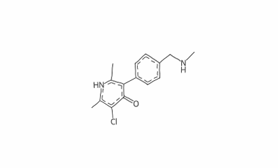 CNCc1ccc(-c2c(C)[nH]c(C)c(Cl)c2=O)cc1